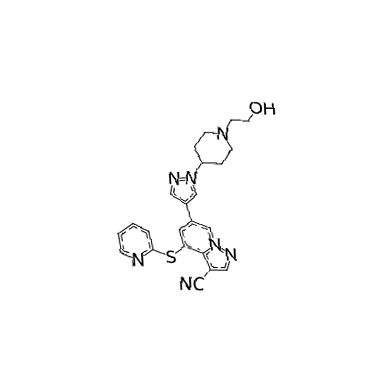 N#Cc1cnn2cc(-c3cnn(C4CCN(CCO)CC4)c3)cc(Sc3ccccn3)c12